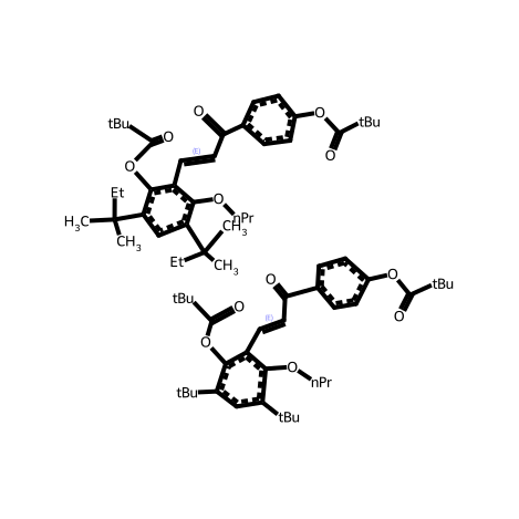 CCCOc1c(C(C)(C)C)cc(C(C)(C)C)c(OC(=O)C(C)(C)C)c1/C=C/C(=O)c1ccc(OC(=O)C(C)(C)C)cc1.CCCOc1c(C(C)(C)CC)cc(C(C)(C)CC)c(OC(=O)C(C)(C)C)c1/C=C/C(=O)c1ccc(OC(=O)C(C)(C)C)cc1